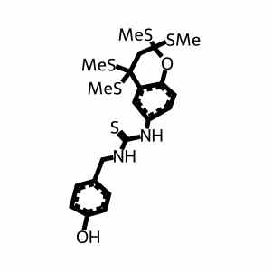 CSC1(SC)CC(SC)(SC)c2cc(NC(=S)NCc3ccc(O)cc3)ccc2O1